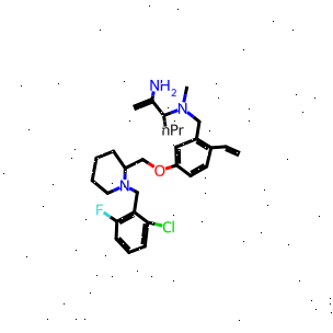 C=Cc1ccc(OCC2CCCCN2Cc2c(F)cccc2Cl)cc1CN(C)C(CCC)C(=C)N